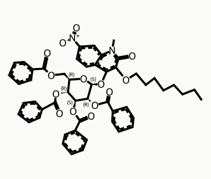 CCCCCCCCOc1c(O[C@@H]2O[C@H](COC(=O)c3ccccc3)[C@@H](OC(=O)c3ccccc3)[C@H](OC(=O)c3ccccc3)[C@H]2OC(=O)c2ccccc2)c2ccc([N+](=O)[O-])cc2n(C)c1=O